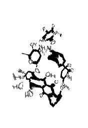 CCC1(c2ccc(N)cc2)CCC(=O)NC1=O.COc1cccc2c1C(=O)c1c(O)c3c(c(O)c1C2=O)C[C@@](O)(C(C)=O)C[C@@H]3O[C@H]1C[C@H](N)[C@H](O)[C@H](C)O1.Cl.O=c1[nH]cc(F)c(=O)[nH]1